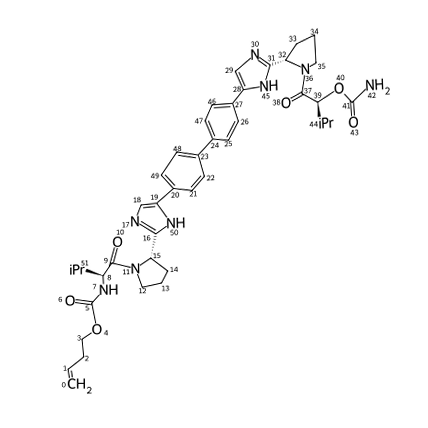 C=CCCOC(=O)N[C@H](C(=O)N1CCC[C@H]1c1ncc(-c2ccc(-c3ccc(-c4cnc([C@@H]5CCCN5C(=O)[C@@H](OC(N)=O)C(C)C)[nH]4)cc3)cc2)[nH]1)C(C)C